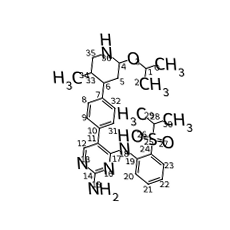 CC(C)OC1CC(c2ccc(-c3cnc(N)nc3Nc3ccccc3S(=O)(=O)C(C)C)cc2)C(C)CN1